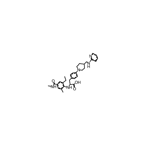 CCc1cc(C(=O)NC)cc(C)c1NC(Cc1ccc(N2CCC(CNc3ccccn3)CC2)cc1)C(=O)O